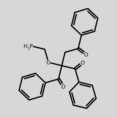 O=C(CC(OCP)(C(=O)c1ccccc1)C(=O)c1ccccc1)c1ccccc1